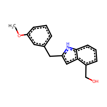 COc1cccc(Cc2cc3c(CO)cccc3[nH]2)c1